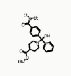 CCN(CC)C(=O)c1ccc(C(O)(c2ccccc2)N2CCC(C(=O)OC(C)(C)C)CC2)cc1